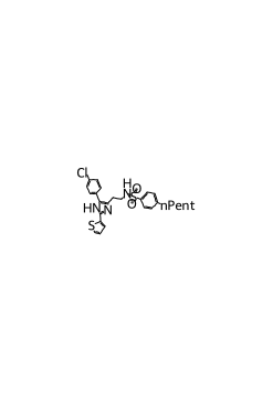 CCCCCc1ccc(S(=O)(=O)NCCc2nc(-c3cccs3)[nH]c2-c2ccc(Cl)cc2)cc1